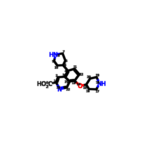 O=C(O)c1cc2c(C3CCNCC3)ccc(OC3CCNCC3)c2cn1